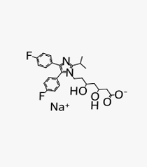 CC(C)c1nc(-c2ccc(F)cc2)c(-c2ccc(F)cc2)n1CCC(O)CC(O)CC(=O)[O-].[Na+]